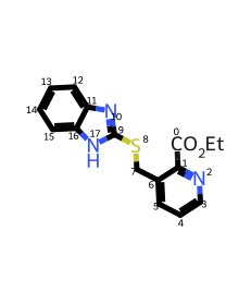 CCOC(=O)c1ncccc1CSc1nc2ccccc2[nH]1